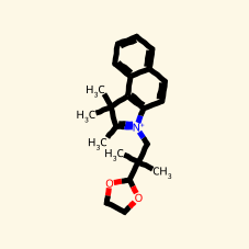 CC1=[N+](CC(C)(C)C2OCCO2)c2ccc3ccccc3c2C1(C)C